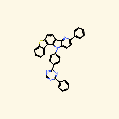 c1ccc(-c2ccc3c(n2)c2ccc4sc5ccccc5c4c2n3-c2ccc(-c3ncnc(-c4ccccc4)n3)cc2)cc1